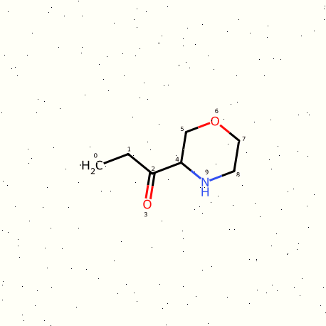 [CH2]CC(=O)C1COCCN1